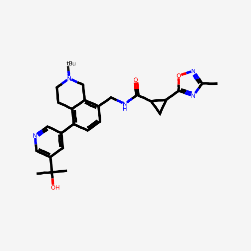 Cc1noc(C2CC2C(=O)NCc2ccc(-c3cncc(C(C)(C)O)c3)c3c2CN(C(C)(C)C)CC3)n1